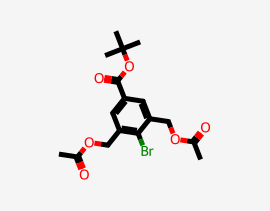 CC(=O)OCc1cc(C(=O)OC(C)(C)C)cc(COC(C)=O)c1Br